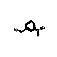 [CH2]Cc1cccc([N+](=O)[O-])c1